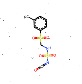 N#Cc1cccc(S(=O)(=O)CNS(=O)(=O)N=C=O)c1